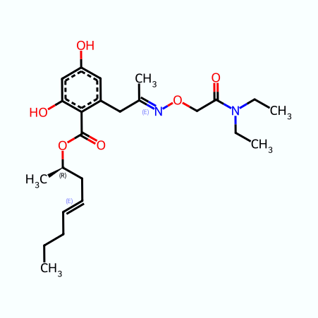 CCC/C=C/C[C@@H](C)OC(=O)c1c(O)cc(O)cc1C/C(C)=N/OCC(=O)N(CC)CC